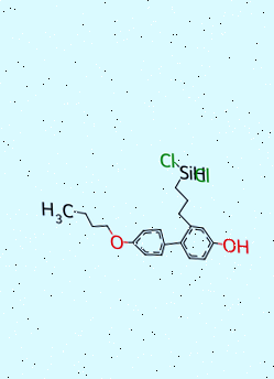 CCCCOc1ccc(-c2ccc(O)cc2CCC[SiH](Cl)Cl)cc1